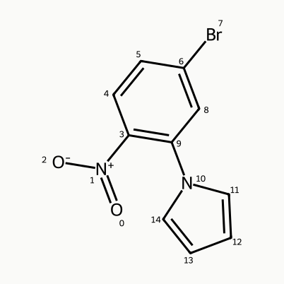 O=[N+]([O-])c1ccc(Br)cc1-n1cccc1